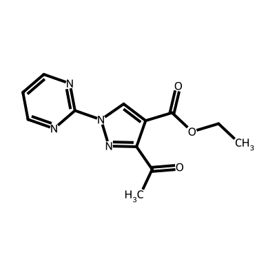 CCOC(=O)c1cn(-c2ncccn2)nc1C(C)=O